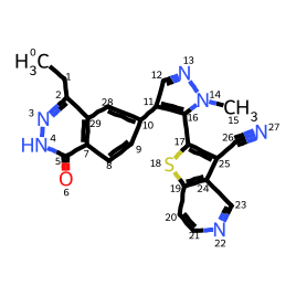 CCc1n[nH]c(=O)c2ccc(-c3cnn(C)c3-c3sc4ccncc4c3C#N)cc12